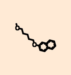 COCCCCCOc1ccc2ccccc2c1